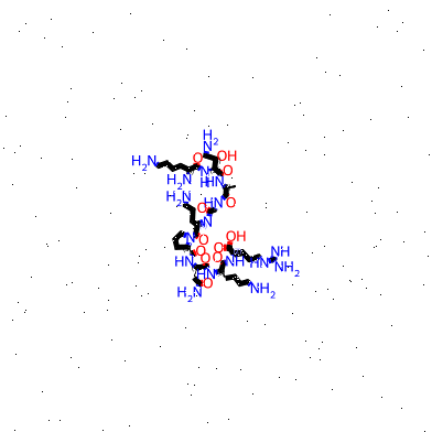 C[C@H](NC(=O)[C@@H](NC(=O)[C@@H](N)CCCCN)[C@@H](O)CN)C(=O)NCC(=O)/N=C(\CCCN)C(=O)N1CCC[C@H]1C(=O)N[C@@H](CC(N)=O)C(=O)N[C@@H](CCCCN)C(=O)N/C(=C\CCNC(=N)N)C(=O)O